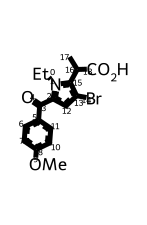 CCn1c(C(=O)c2ccc(OC)cc2)cc(Br)c1C(C)C(=O)O